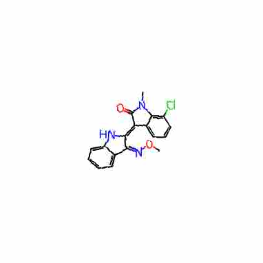 CO/N=C1\C(=C2\C(=O)N(C)c3c(Cl)cccc32)Nc2ccccc21